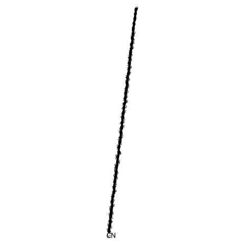 C#CC#CC#CC#CC#CC#CC#CC#CC#CC#CC#CC#CC#CC#CC#CC#CC#CC#CC#CC#CC#CC#CC#CC#CC#CC#CC#CC#CC#CC#CC#CC#CC#CC#CC#CC#CC#CC#CC#CC#CC#CC#CC#CC#CC#CC#CC#N